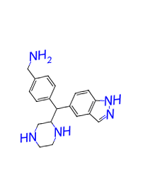 NCc1ccc(C(c2ccc3[nH]ncc3c2)C2CNCCN2)cc1